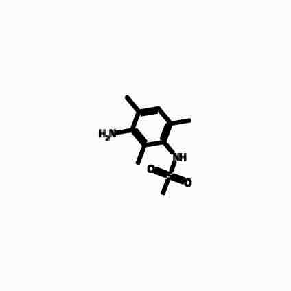 Cc1cc(C)c(NS(C)(=O)=O)c(C)c1N